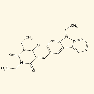 CCN1C(=O)C(=Cc2ccc3c(c2)c2ccccc2n3CC)C(=O)N(CC)C1=S